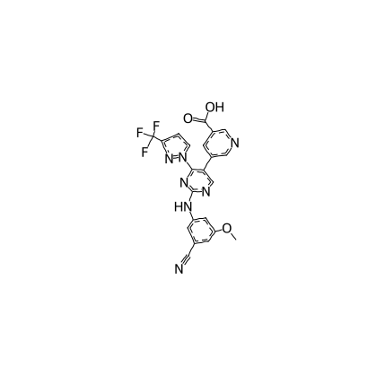 COc1cc(C#N)cc(Nc2ncc(-c3cncc(C(=O)O)c3)c(-n3ccc(C(F)(F)F)n3)n2)c1